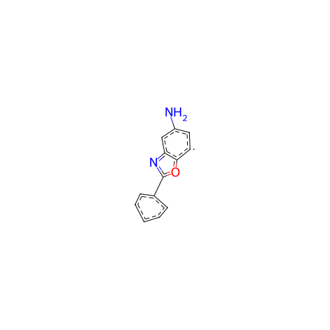 Nc1c[c]c2oc(-c3ccccc3)nc2c1